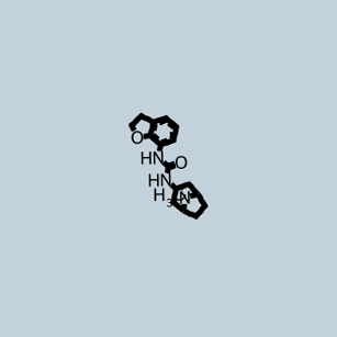 CN1C2CCC1CC(NC(=O)Nc1cccc3c1OCC3)C2